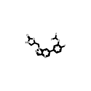 O=C1NCC(Cn2ncc3ncc(-c4ccc(F)c(OC(F)F)c4)cc32)O1